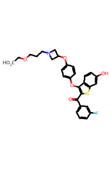 O=C(O)COCCCN1CC(Oc2ccc(Oc3c(C(=O)c4cccc(F)c4)sc4cc(O)ccc34)cc2)C1